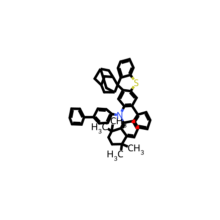 CC1(C)CCC(C)(C)c2c(N(c3ccc(-c4ccccc4)cc3)c3cc4c(cc3-c3ccccc3)Sc3ccccc3C43C4CC5CC(C4)CC3C5)cccc21